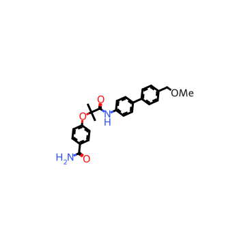 COCc1ccc(-c2ccc(NC(=O)C(C)(C)Oc3ccc(C(N)=O)cc3)cc2)cc1